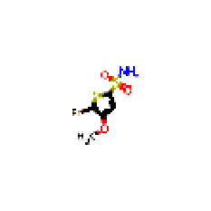 COc1cc(S(N)(=O)=O)sc1Br